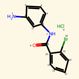 Cl.Nc1cccc(NC(=O)c2ccccc2Br)c1